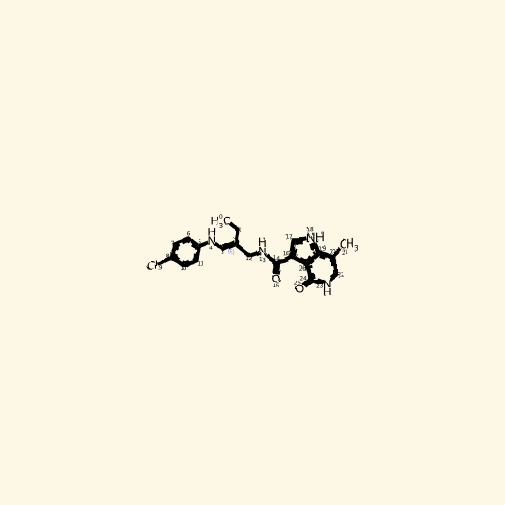 CC/C(=C\Nc1ccc(Cl)cc1)CNC(=O)c1c[nH]c2c(C)c[nH]c(=O)c12